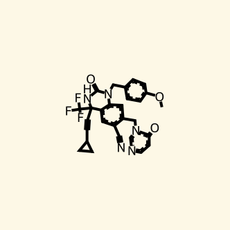 COc1ccc(CN2C(=O)NC(C#CC3CC3)(C(F)(F)F)c3cc(C#N)c(Cn4cnccc4=O)cc32)cc1